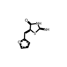 N=C1NC(=O)/C(=C/c2ccco2)S1